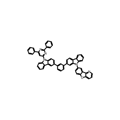 c1ccc(-c2cc(-n3c4ccccc4c4cc(-c5cccc(-c6ccc7c8ccccc8n(-c8ccc9oc%10cccnc%10c9c8)c7c6)c5)ccc43)nc(-c3ccccc3)n2)cc1